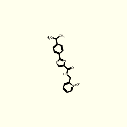 CC(C)c1ccc(-c2nc(C(=O)NCc3cccc[n+]3[O-])cs2)cc1